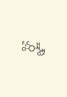 FC(F)(F)c1cc(Nc2ncco2)ccc1Cl